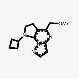 COCc1nc2ccnn2c2c1CCN2C1CCC1